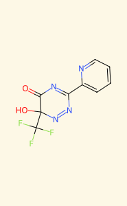 O=C1N=C(c2ccccn2)N=NC1(O)C(F)(F)F